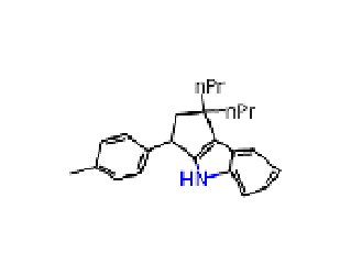 CCCC1(CCC)CC(c2ccc(C)cc2)c2[nH]c3ccccc3c21